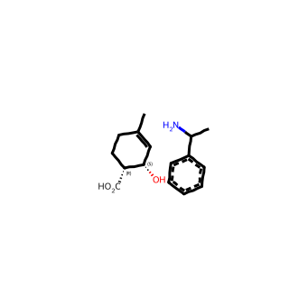 CC(N)c1ccccc1.CC1=C[C@H](O)[C@H](C(=O)O)CC1